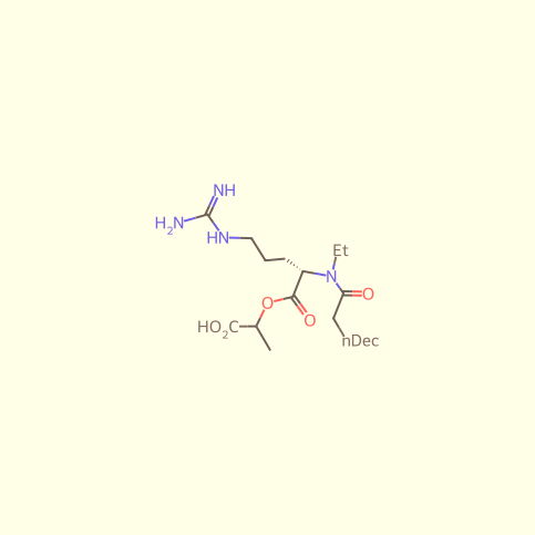 CCCCCCCCCCCC(=O)N(CC)[C@@H](CCCNC(=N)N)C(=O)OC(C)C(=O)O